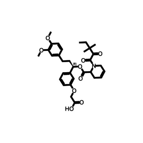 CCC(C)(C)C(=O)C(=O)N1CC=CCC1C(=O)O[C@H](CCc1ccc(OC)c(OC)c1)c1cccc(OCC(=O)O)c1